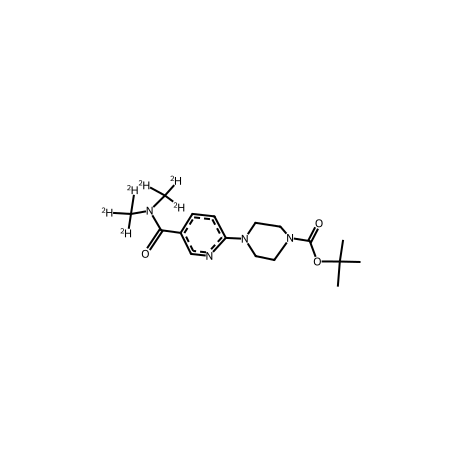 [2H]C([2H])([2H])N(C(=O)c1ccc(N2CCN(C(=O)OC(C)(C)C)CC2)nc1)C([2H])([2H])[2H]